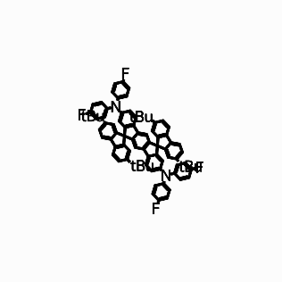 CC(C)(C)c1ccc2c(c1)C1(c3cc(N(c4ccc(F)cc4)c4ccc(F)cc4)ccc3-c3cc4c(cc31)-c1ccc(N(c3ccc(F)cc3)c3ccc(F)cc3)cc1C41c3cc(C(C)(C)C)ccc3-c3ccc(C(C)(C)C)cc31)c1cc(C(C)(C)C)ccc1-2